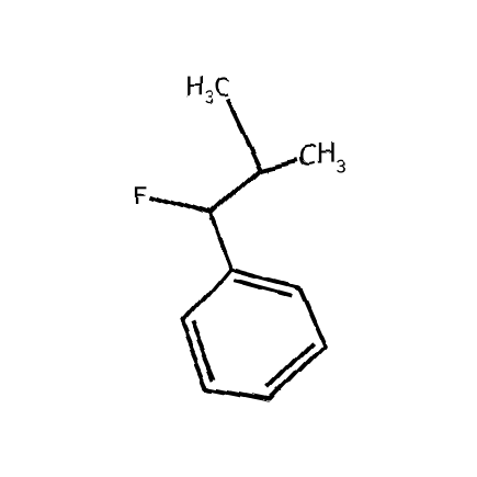 CC(C)[C](F)c1ccccc1